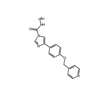 CCCCNC(=O)n1cnc(-c2ccc(OCc3ccncc3)cc2)c1